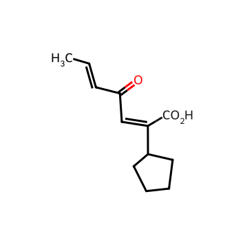 CC=CC(=O)C=C(C(=O)O)C1CCCC1